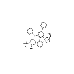 CC1(C)CCC(C)(C)c2cc(N(c3ccccc3)c3cc(-c4ccccc4)cc4c3-c3ccccc3C43C4CC5CC(C4)C3C5)ccc21